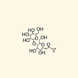 O=C(C[C@@H]1OC(CO)[C@@H](O[C@@H]2OC(CO)[C@H](O)C(O)C2O)C(O)C1O)C1CC1